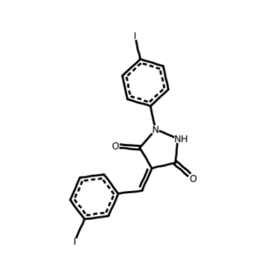 O=C1NN(c2ccc(I)cc2)C(=O)C1=Cc1cccc(I)c1